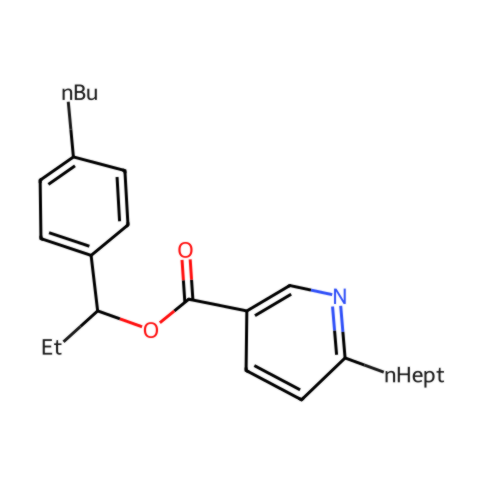 CCCCCCCc1ccc(C(=O)OC(CC)c2ccc(CCCC)cc2)cn1